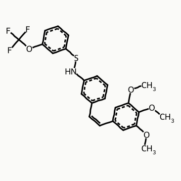 COc1cc(/C=C\c2cccc(NSc3cccc(OC(F)(F)F)c3)c2)cc(OC)c1OC